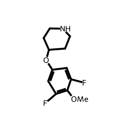 COc1c(F)cc(OC2CCNCC2)cc1F